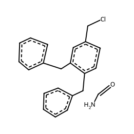 ClCc1ccc(Cc2ccccc2)c(Cc2ccccc2)c1.NC=O